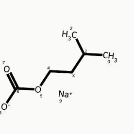 CC(C)CCOC(=O)[O-].[Na+]